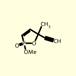 C#CC1(C)C=CP(=O)(OC)O1